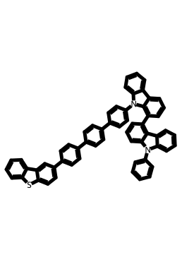 c1ccc(-n2c3ccccc3c3c(-c4cccc5c6ccccc6n(-c6ccc(-c7ccc(-c8ccc(-c9ccc%10sc%11ccccc%11c%10c9)cc8)cc7)cc6)c45)cccc32)cc1